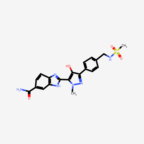 Cn1nc(-c2ccc(CNS(C)(=O)=O)cc2)c(O)c1-c1nc2ccc(C(N)=O)cc2[nH]1